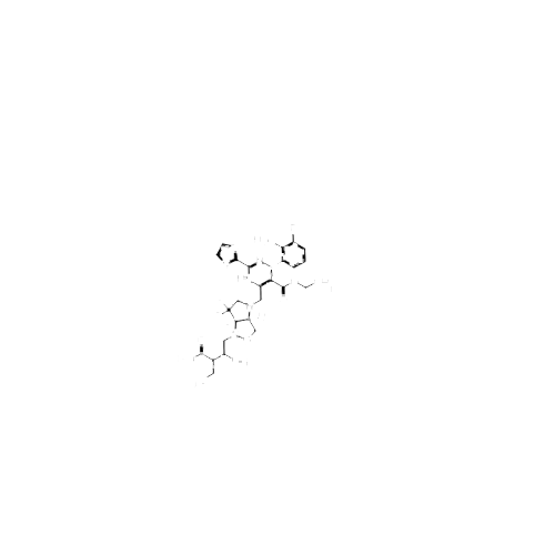 CCOC(=O)C1=C(CN2CC(F)(F)[C@H]3[C@@H]2CON3CC(O)C(CC)C(=O)O)NC(c2nccs2)=N[C@H]1c1cccc(F)c1C